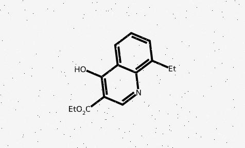 CCOC(=O)c1cnc2c(CC)cccc2c1O